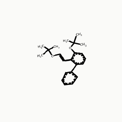 CC(C)(C)OC=Cc1c(OC(C)(C)C)cccc1-c1ccccc1